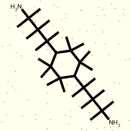 CC(C)(N)C(C)(C)C(C)(C)C1C(C)(C)C(C)(C)C(C(C)(C)C(C)(C)C(C)(C)N)C(C)(C)C1(C)C